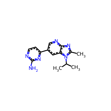 Cc1nc2ncc(-c3ccnc(N)n3)cc2n1C(C)C